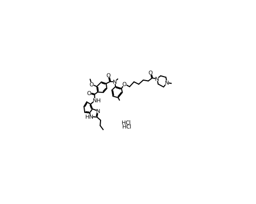 CCCc1nc2c(NC(=O)c3ccc(C(=O)N(C)c4ccc(C)cc4OCCCCCC(=O)N4CCN(C)CC4)cc3OC)cccc2[nH]1.Cl.Cl